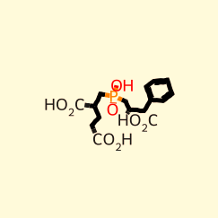 O=C(O)CCC(CP(=O)(O)CC(Cc1ccccc1)C(=O)O)C(=O)O